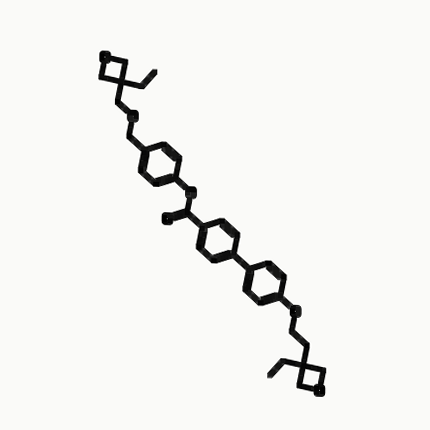 CCC1(CCOc2ccc(-c3ccc(C(=O)Oc4ccc(COCC5(CC)COC5)cc4)cc3)cc2)COC1